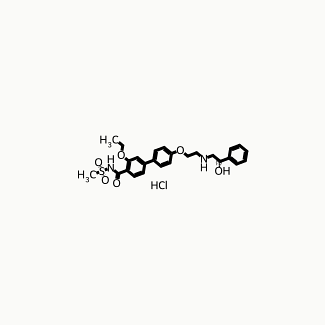 CCOc1cc(-c2ccc(OCCNC[C@@H](O)c3ccccc3)cc2)ccc1C(=O)NS(C)(=O)=O.Cl